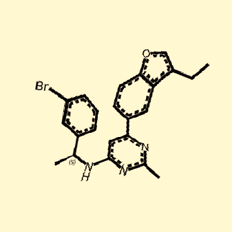 CCc1coc2ccc(-c3cc(N[C@@H](C)c4cccc(Br)c4)nc(C)n3)cc12